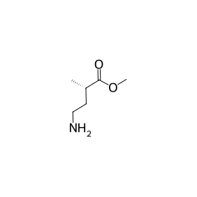 COC(=O)[C@@H](C)CCN